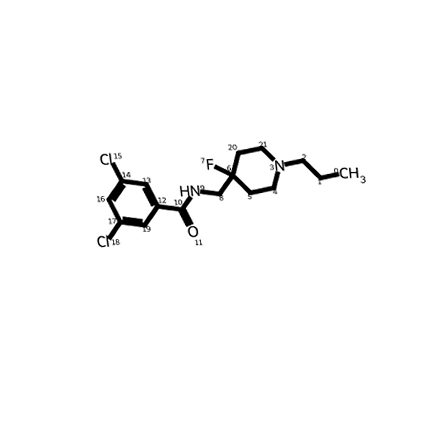 CCCN1CCC(F)(CNC(=O)c2cc(Cl)cc(Cl)c2)CC1